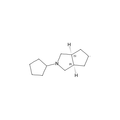 [CH]1C[C@@H]2CN(C3CCCC3)C[C@@H]2C1